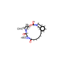 CCCC[C@@H]1NC(=O)CCCCCc2cccc3c2CN(C3)C(=O)O[C@@H]2C[C@@H](C=O)N(C2)C1=O